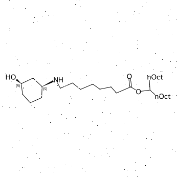 CCCCCCCCC(CCCCCCCC)OC(=O)CCCCCCCN[C@H]1CCC[C@@H](O)C1